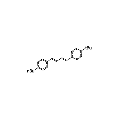 CCCCc1ccc(C=CC=Cc2ccc(C(C)(C)C)cc2)cc1